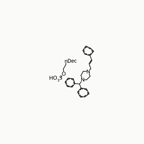 C(=Cc1ccccc1)CN1CCN(C(c2ccccc2)c2ccccc2)CC1.CCCCCCCCCCCCOS(=O)(=O)O